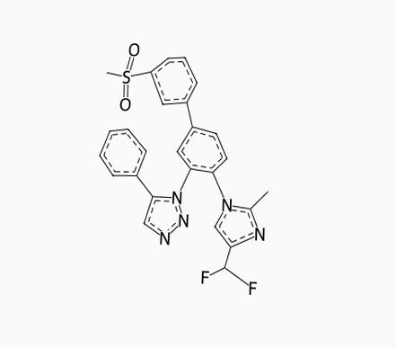 Cc1nc(C(F)F)cn1-c1ccc(-c2cccc(S(C)(=O)=O)c2)cc1-n1nncc1-c1ccccc1